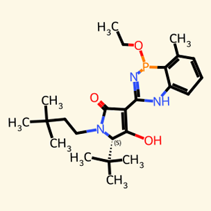 CCOP1N=C(C2=C(O)[C@H](C(C)(C)C)N(CCC(C)(C)C)C2=O)Nc2cccc(C)c21